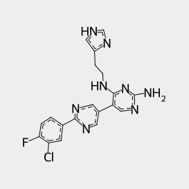 Nc1ncc(-c2cnc(-c3ccc(F)c(Cl)c3)nc2)c(NCCc2c[nH]cn2)n1